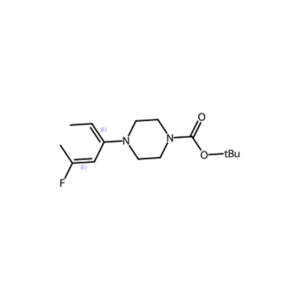 C/C=C(\C=C(/C)F)N1CCN(C(=O)OC(C)(C)C)CC1